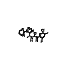 Cc1cc(F)c(NC(=O)NC(C)c2ncnn2-c2ncccn2)cc1Cl